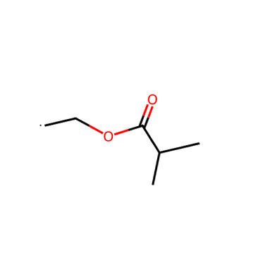 [CH2]COC(=O)C(C)C